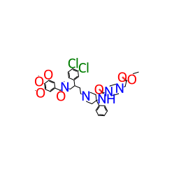 CCOC(=O)CN1CCN(C(=O)NC2(c3ccccc3)CCN(CCC(CN(C)C(=O)c3cc(OC)c(OC)c(OC)c3)c3ccc(Cl)c(Cl)c3)CC2)CC1